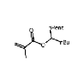 C=C(C)C(=O)OC(CCCC)CCCCC